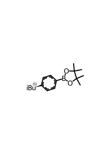 CC[C@H](C)c1ccc(B2OC(C)(C)C(C)(C)O2)cc1